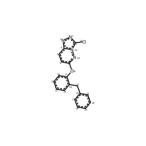 Clc1nnc2ccc(Oc3ccccc3Cc3ccccc3)nn12